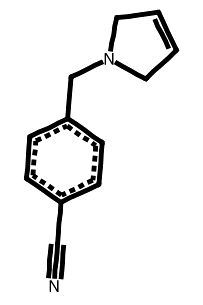 N#Cc1ccc(CN2CC=CC2)cc1